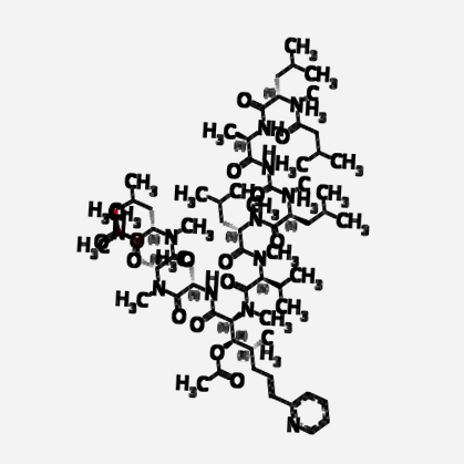 CC[C@H](NC(=O)[C@H]([C@H](OC(C)=O)[C@H](C)CC=Cc1ccccn1)N(C)C(=O)[C@H](C(C)C)N(C)C(=O)[C@H](CC(C)C)N(C)C(=O)[C@H](CC(C)C)N(C)C(=O)NC(=O)[C@@H](C)NC(=O)[C@H](CC(C)C)N(C)C(=O)CC(C)C)C(=O)N(C)[C@H](COC(C)=O)C(=O)N(C)[C@@H](CC(C)C)C(=O)NC